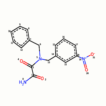 NC(=O)C(=O)N(Cc1ccccc1)Cc1cccc([N+](=O)[O-])c1